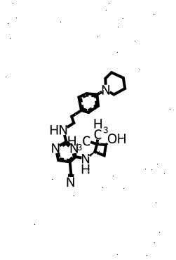 CC1(C)[C@@H](O)C[C@H]1Nc1nc(NCCc2ccc(N3CCCCC3)cc2)ncc1C#N